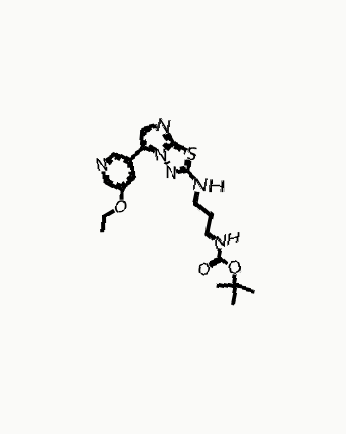 CCOc1cncc(-c2cnc3sc(NCCCNC(=O)OC(C)(C)C)nn23)c1